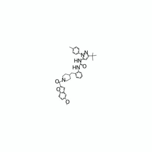 COc1ccc2oc(C(=O)N3CCC(Cc4ccccc4NC(=O)Nc4cc(C(C)(C)C)nn4-c4ccc(C)cc4)CC3)cc2c1